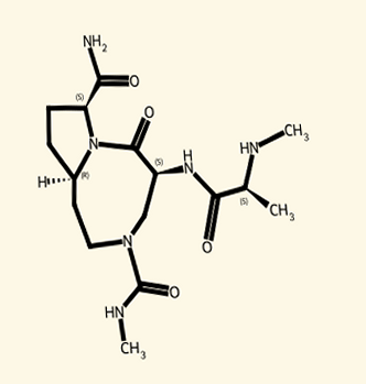 CNC(=O)N1CC[C@H]2CC[C@@H](C(N)=O)N2C(=O)[C@@H](NC(=O)[C@H](C)NC)C1